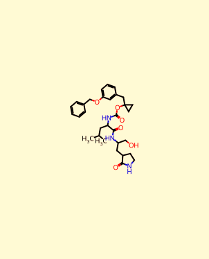 CC(C)CC(NC(=O)OC1(Cc2cccc(OCc3ccccc3)c2)CC1)C(=O)NC(CO)CC1CCNC1=O